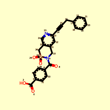 O=C(O)c1ccc(C(=O)N2Cc3cc(C#CCc4ccccc4)ncc3CS2(=O)=O)cc1